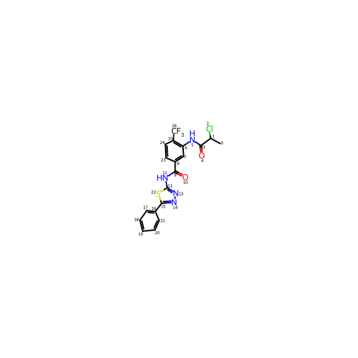 CC(Cl)C(=O)Nc1cc(C(=O)Nc2nnc(-c3ccccc3)s2)ccc1C(F)(F)F